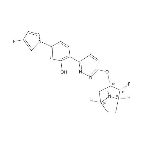 CN1[C@H]2CC[C@@H]1[C@@H](F)[C@@H](Oc1ccc(-c3ccc(-n4cc(F)cn4)cc3O)nn1)C2